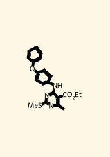 CCOC(=O)c1c(C)nc(SC)nc1Nc1ccc(Oc2ccccc2)cc1